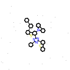 c1ccc(-c2cccc(-c3cccc4sc5c(-c6nc(-c7ccccc7)nc(-c7cccc8c7sc7ccccc78)n6)cc(-n6c7ccccc7c7ccccc76)cc5c34)c2)cc1